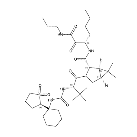 CCCC[C@H](NC(=O)[C@H]1C(C(=O)[C@@H](NC(=O)NC2([C@H]3CCCS3(=O)=O)CCCCC2)C(C)(C)C)C[C@H]2[C@@H]1C2(C)C)C(=O)C(=O)NCCC